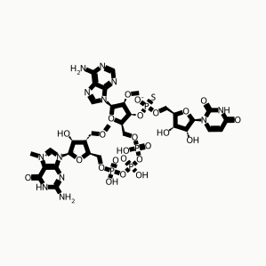 COC[C@H]1[C@@H](O)[C@H](n2c[n+](C)c3c(=O)[nH]c(N)nc32)O[C@@H]1COP(=O)(O)OP(=O)(O)OP(=O)(O)OC[C@H]1O[C@@H](n2cnc3c(N)ncnc32)[C@H](OC)[C@@H]1OP([O-])(=S)OC[C@H]1O[C@@H](n2ccc(=O)[nH]c2=O)[C@H](O)[C@@H]1O